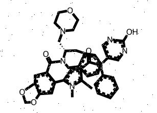 Cc1c(C(=O)N(c2ccccc2)c2cnc(O)nc2)cc(-c2cc3c(cc2C(=O)N2Cc4ccccc4C[C@H]2CN2CCOCC2)OCO3)n1C